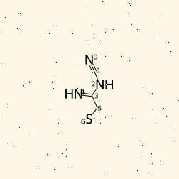 N#CNC(=N)C[S]